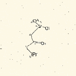 CC(C)CC(=O)C[S+](C)[O-]